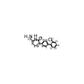 NC[C@@H]1CCS[C@H](c2ccc(-c3ccccc3Cl)cc2)C(=O)N1